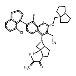 C=C(F)C(=O)N1CCC2[C@H]1CN2c1c(CC#N)c(OCC23CCCN2CCC3)nc2c(F)c(-c3cccc4cccc(Cl)c34)ccc12